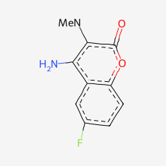 CNc1c(N)c2cc(F)ccc2oc1=O